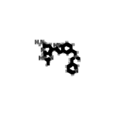 Cc1nc2c(-c3cc4cc(CN(C)Cc5cccnc5)ccc4[nH]3)cc(N)nc2[nH]1